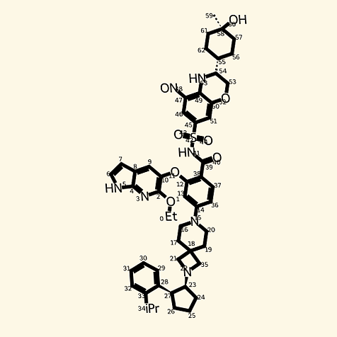 CCOc1nc2[nH]ccc2cc1Oc1cc(N2CCC3(CC2)CN([C@H]2CCC[C@H]2c2ccccc2C(C)C)C3)ccc1C(=O)NS(=O)(=O)c1cc(N=O)c2c(c1)OCC([C@H]1CC[C@](C)(O)CC1)N2